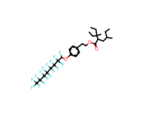 CCC(C)CC(C(=O)OCCc1ccc(OC(F)C(F)(F)C(F)(F)C(F)(F)C(F)(F)C(F)(F)C(F)(F)C(F)(F)F)cc1)C(C)(CC)CC